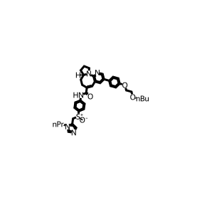 CCCCOCCOc1ccc(-c2cnc3c(c2)C=C(C(=O)Nc2ccc([S@@+]([O-])Cc4cncn4CCC)cc2)CC[C@@H]2CCCN32)cc1